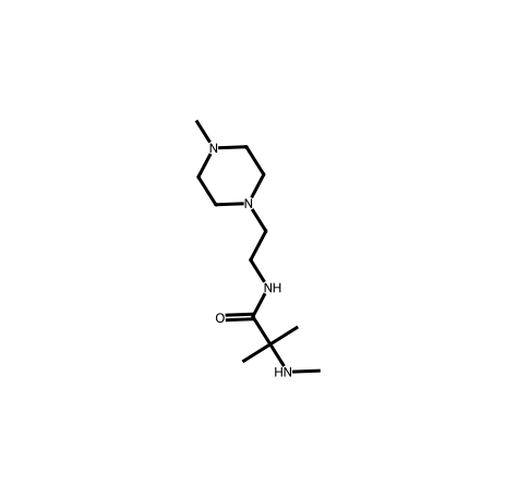 CNC(C)(C)C(=O)NCCN1CCN(C)CC1